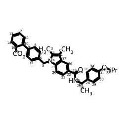 Cc1c(C)n(Cc2ccc(-c3ccccc3C(=O)O)cc2)c2ccc(C(=O)N[C@@H](C)c3ccc(OC(C)C)cc3)cc12